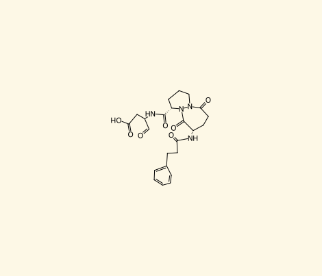 O=CC(CC(=O)O)NC(=O)[C@@H]1CCCN2C(=O)CC[C@H](NC(=O)CCc3ccccc3)C(=O)N12